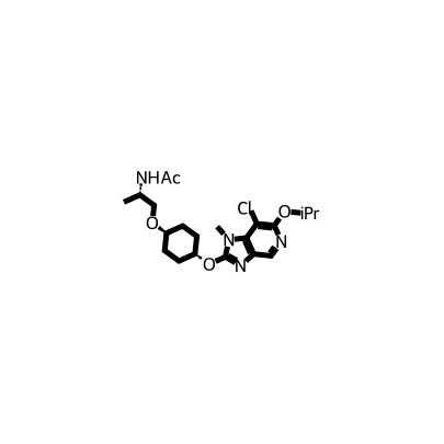 CC(=O)N[C@@H](C)CO[C@H]1CC[C@H](Oc2nc3cnc(OC(C)C)c(Cl)c3n2C)CC1